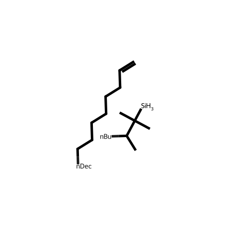 C=CCCCCCCCCCCCCCCCC.CCCCC(C)C(C)(C)[SiH3]